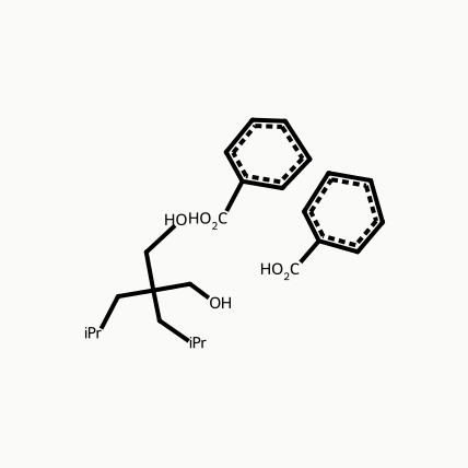 CC(C)CC(CO)(CO)CC(C)C.O=C(O)c1ccccc1.O=C(O)c1ccccc1